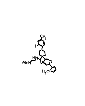 CNCCNC(=O)C1(c2ccc(-c3cccn3C)nc2)CCN(c2ccc(C(F)(F)F)cc2F)CC1